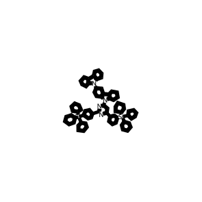 c1ccc([Si](c2ccccc2)(c2ccccc2)c2ccc(-c3nc(-c4cccc([Si](c5ccccc5)(c5ccccc5)c5ccccc5)c4)cc(-n4c5ccccc5c5cc(-n6c7ccccc7c7ccccc76)ccc54)n3)cc2)cc1